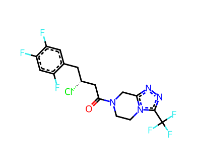 O=C(C[C@H](Cl)Cc1cc(F)c(F)cc1F)N1CCn2c(nnc2C(F)(F)F)C1